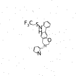 FC(F)(F)CSNc1ccccc1-c1ccc2c(c1)OC[C@H](Cc1ccccn1)C2